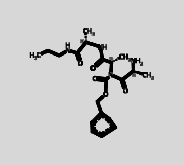 CCCNC(=O)[C@H](C)NC(=O)[C@H](C)N(C(=O)OCc1ccccc1)C(=O)[C@H](C)N